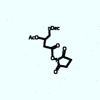 CCCCCCCCCCCC(CC(=O)ON1C(=O)CCC1=O)OC(C)=O